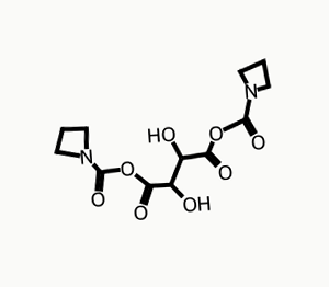 O=C(OC(=O)N1CCC1)C(O)C(O)C(=O)OC(=O)N1CCC1